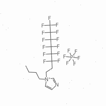 CCCC[N+]1(CCC(F)(F)C(F)(F)C(F)(F)C(F)(F)C(F)(F)C(F)(F)F)C=CN=C1.F[P-](F)(F)(F)(F)F